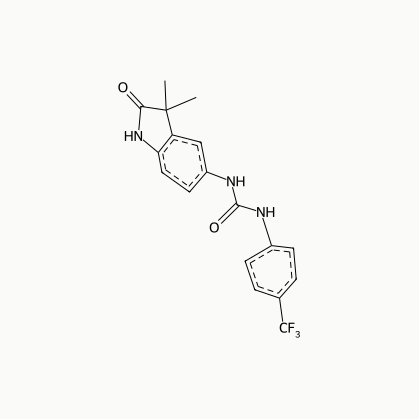 CC1(C)C(=O)Nc2ccc(NC(=O)Nc3ccc(C(F)(F)F)cc3)cc21